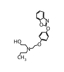 CCCN(CCO)CCOc1ccc(Oc2nc3ccccc3o2)cc1